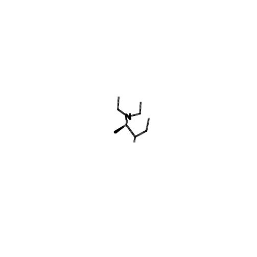 CCC(C)[C@@H](C)N(CC)CC